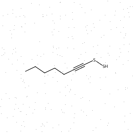 CCCCCC#CSS